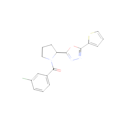 O=C(c1cccc(Cl)c1)N1CCCC1c1nnc(-c2cccs2)o1